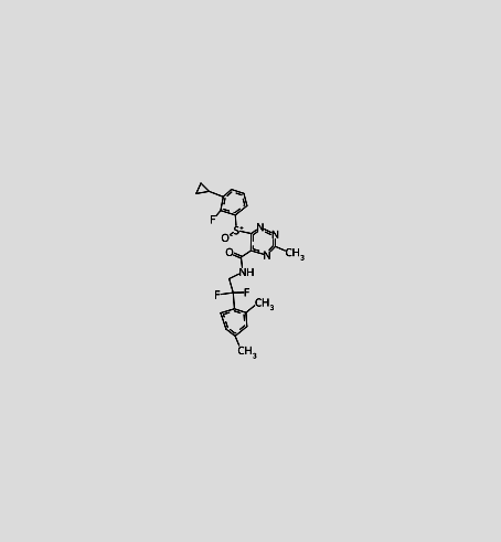 Cc1ccc(C(F)(F)CNC(=O)c2nc(C)nnc2[S+]([O-])c2cccc(C3CC3)c2F)c(C)c1